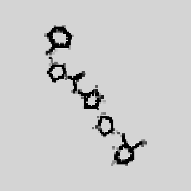 CC(C)c1ccnnc1O[C@@H]1CO[C@H](c2cc(NC(=O)N3CC[C@H](Nc4ccccc4)C3)n[nH]2)C1